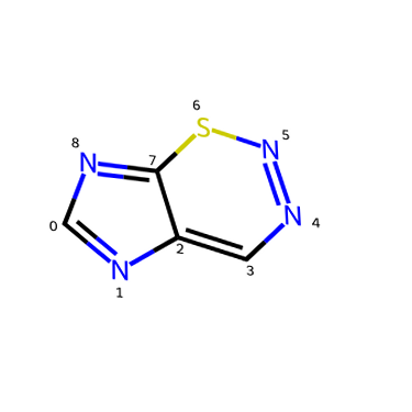 c1nc2cnnsc-2n1